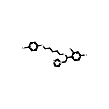 Clc1ccc(OCCCCCOC(Cn2ccnc2)c2ccc(Cl)cc2Cl)cc1